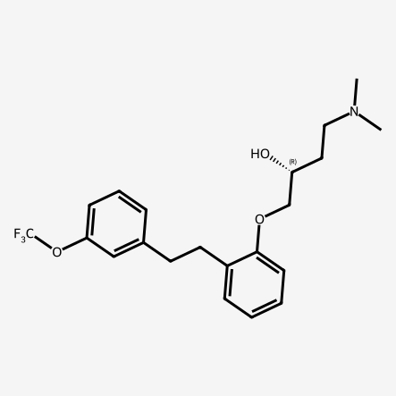 CN(C)CC[C@@H](O)COc1ccccc1CCc1cccc(OC(F)(F)F)c1